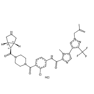 C=C(C)Cn1cc(-c2cnc(C(=O)Nc3ccc(C(=O)N4CCN(C(=O)[C@H]5[C@@H]6CNC[C@@H]65)CC4)c(Cl)c3)n2C)c(C(F)(F)F)n1.Cl